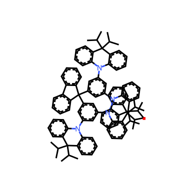 CC(C)C1(C(C)C)c2ccccc2N(c2cc(N3c4ccccc4C(C(C)C)(C(C)C)c4ccccc43)cc(C3(c4cc(N5c6ccccc6C(C(C)C)(C(C)C)c6ccccc65)cc(N5c6ccccc6C(C(C)C)(C(C)C)c6ccccc65)c4)c4ccccc4-c4ccccc43)c2)c2ccccc21